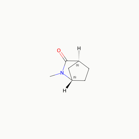 CN1C(=O)[C@H]2CC[C@H]1C2